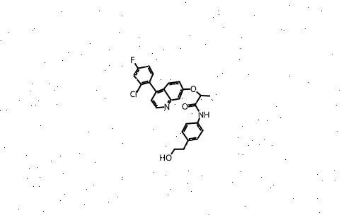 CC(Oc1ccc2c(-c3ccc(F)cc3Cl)ccnc2c1)C(=O)Nc1ccc(CCO)cc1